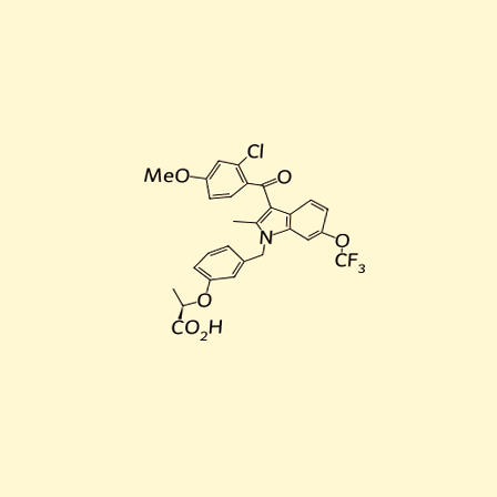 COc1ccc(C(=O)c2c(C)n(Cc3cccc(O[C@H](C)C(=O)O)c3)c3cc(OC(F)(F)F)ccc23)c(Cl)c1